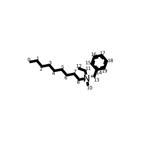 CCCCCCCCC[N+](C)(CC)Cc1ccccc1